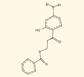 CCN(CC)c1ccc(C(=O)CCOC(=O)c2ccccc2)c(O)c1